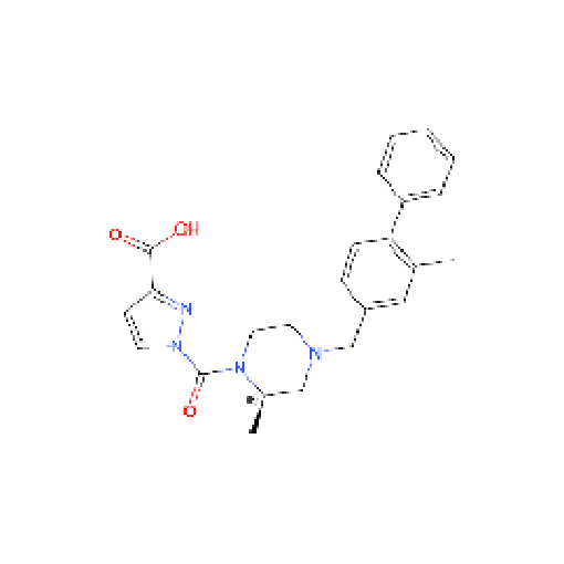 Cc1cc(CN2CCN(C(=O)n3ccc(C(=O)O)n3)[C@H](C)C2)ccc1-c1ccccc1